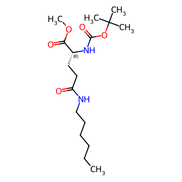 CCCCCCNC(=O)CC[C@@H](NC(=O)OC(C)(C)C)C(=O)OC